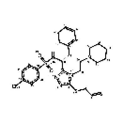 C=CCSc1nnc([C@@H](CC2=CC=CCC2)NS(=O)(=O)c2ccc(Cl)cc2)n1CCN1CCCCC1